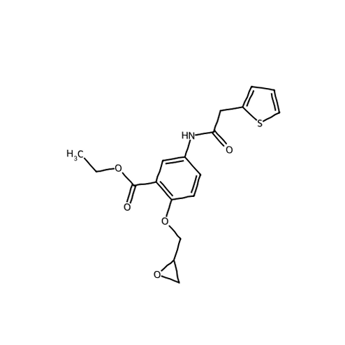 CCOC(=O)c1cc(NC(=O)Cc2cccs2)ccc1OCC1CO1